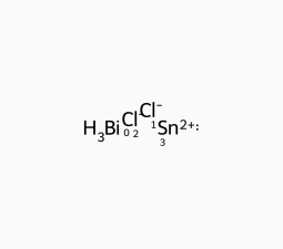 [BiH3].[Cl-].[Cl-].[Sn+2]